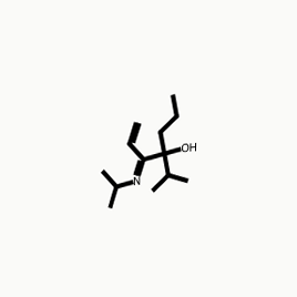 C=C/C(=N\C(C)C)C(O)(CCC)C(C)C